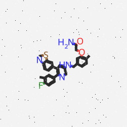 Cc1cc(-c2ncc(NCc3ccc(C)c(OCC(N)=O)c3)cc2-c2ccc3ncsc3c2)ccc1F